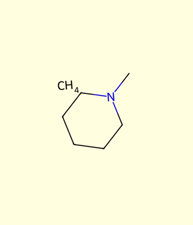 C.CN1CCCCC1